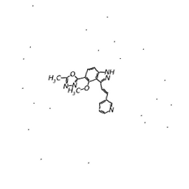 COc1c(-c2nnc(C)o2)ccc2[nH]nc(/C=C/c3cccnc3)c12